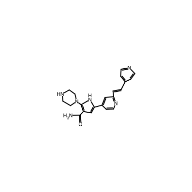 NC(=O)c1cc(-c2ccnc(C=Cc3ccncc3)c2)[nH]c1N1CCNCC1